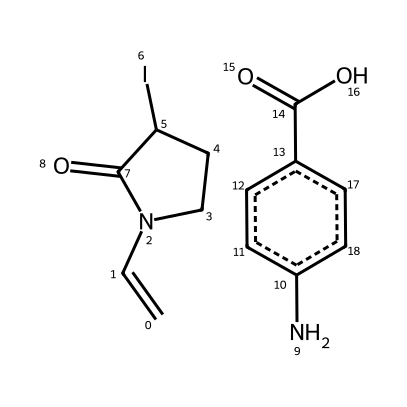 C=CN1CCC(I)C1=O.Nc1ccc(C(=O)O)cc1